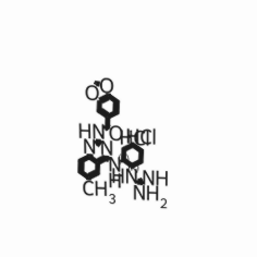 Cc1ccc2nc(NC(=O)c3ccc4c(c3)OCO4)nc(N[C@H]3CCCC[C@H]3NC(=N)N)c2c1.Cl.Cl